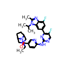 CCN1CC2CCC(C1)N2C(=O)c1ccc(Nc2ncc(F)c(-c3cc(F)c4nc(C)n(C(C)C)c4c3)n2)nc1